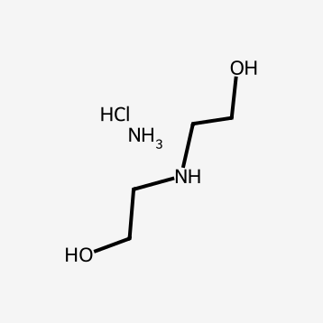 Cl.N.OCCNCCO